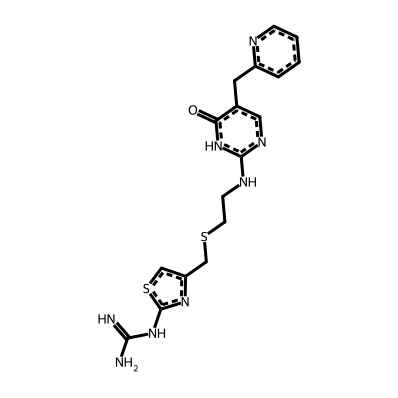 N=C(N)Nc1nc(CSCCNc2ncc(Cc3ccccn3)c(=O)[nH]2)cs1